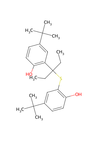 CCC(CC)(Sc1cc(C(C)(C)C)ccc1O)c1cc(C(C)(C)C)ccc1O